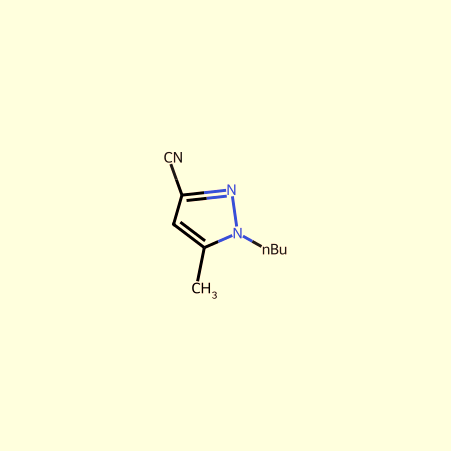 CCCCn1nc(C#N)cc1C